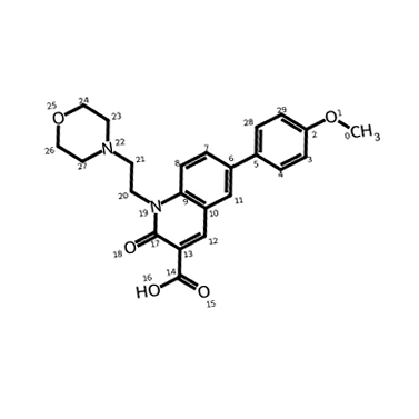 COc1ccc(-c2ccc3c(c2)cc(C(=O)O)c(=O)n3CCN2CCOCC2)cc1